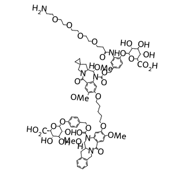 COc1cc2c(cc1OCCCCCOc1cc3c(cc1OC)C(=O)N1CC4(CC4)C[C@H]1[C@H](OC)N3C(=O)OCc1ccc(O[C@@H]3O[C@H](C(=O)O)[C@@H](O)[C@H](O)[C@H]3O)c(NC(=O)CCOCCOCCOCCOCCN)c1)N(C(=O)OCc1ccc(O[C@@H]3O[C@H](C(=O)O)[C@@H](O)[C@H](O)[C@H]3O)cc1)[C@@H](OC)[C@@H]1Cc3ccccc3CN1C2=O